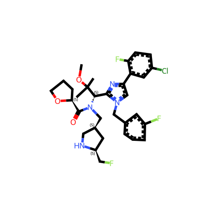 COC(C)(C)[C@H](c1nc(-c2cc(Cl)ccc2F)cn1Cc1cccc(F)c1)N(C[C@@H]1CN[C@H](CF)C1)C(=O)[C@@H]1CCCO1